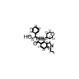 CCn1ncc2c(NC3CCOCC3)c(C(=O)N[C@@H](CO)c3ccccc3)ccc21